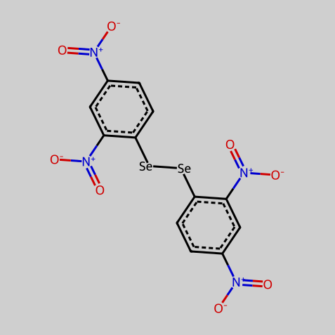 O=[N+]([O-])c1ccc([Se][Se]c2ccc([N+](=O)[O-])cc2[N+](=O)[O-])c([N+](=O)[O-])c1